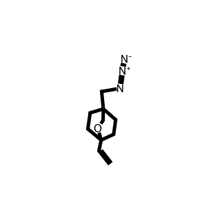 C=CC12CCC(CN=[N+]=[N-])(CC1)CO2